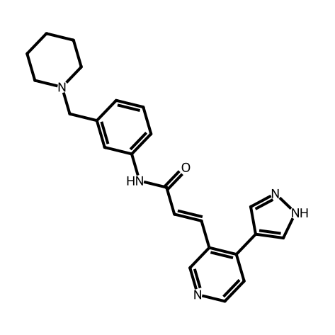 O=C(/C=C/c1cnccc1-c1cn[nH]c1)Nc1cccc(CN2CCCCC2)c1